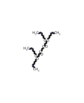 CC/C=C\CCCCOC(CCC(=O)OCCCOC(=O)CCC(OCCCC/C=C\CC)OCCCC/C=C\CC)OCCCC/C=C\CC